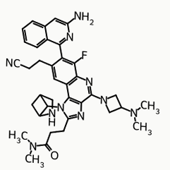 CN(C)C(=O)CCc1nc2c(N3CC(N(C)C)C3)nc3c(F)c(-c4nc(N)cc5ccccc45)c(CCC#N)cc3c2n1C1C2CNC1C2